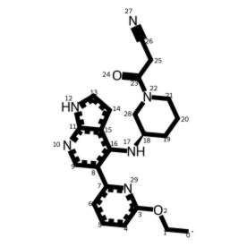 [CH2]COc1cccc(-c2cnc3[nH]ccc3c2N[C@@H]2CCCN(C(=O)CC#N)C2)n1